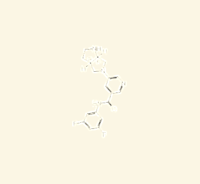 O=C(Nc1cc(F)cc(F)c1)c1cncc(N2C[C@@H]3CCN[C@@H]3C2)c1